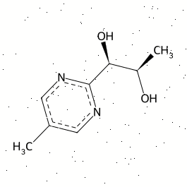 Cc1cnc([C@@H](O)[C@@H](C)O)nc1